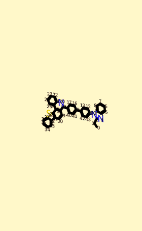 CCc1nc2ccccc2n1-c1ccc(-c2ccc(-c3nc4ccccc4c4c3ccc3c5ccccc5sc34)cc2)cc1